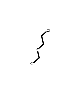 ClCCSCCl